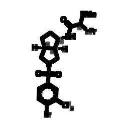 CCC[C@H](NC)C(=O)N[C@H]1CC[C@@H]2CN(S(=O)(=O)c3ccc(Br)c(C(F)(F)F)c3)C[C@@H]21